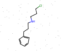 ClCCCNCCCc1ccccc1